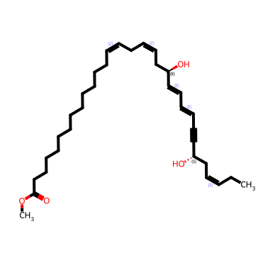 CC/C=C\C[C@H](O)C#C/C=C/C=C/[C@H](O)C/C=C\C/C=C\CCCCCCCCCCCCC(=O)OC